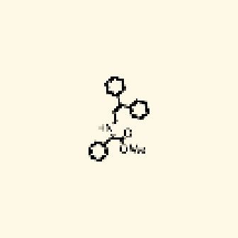 COC(=O)[C@@H](NCC=C(c1ccccc1)c1ccccc1)c1ccccc1